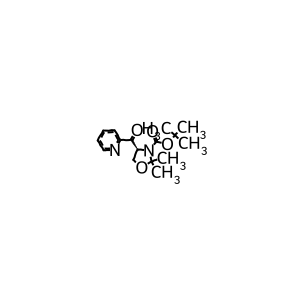 CC(C)(C)OC(=O)N1[C@H](C(=O)c2ccccn2)COC1(C)C